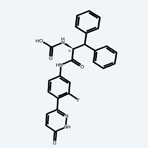 O=C(O)N[C@H](C(=O)Nc1ccc(-c2ccc(=O)[nH]n2)c(F)c1)C(c1ccccc1)c1ccccc1